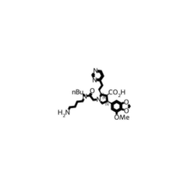 CCCCN(CCCCN)C(=O)CN1C[C@H](c2cc(OC)c3c(c2)OCO3)[C@@H](C(=O)O)[C@@H]1CCc1ccncn1